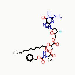 CCCCCCCCCCCCCCCCCC(=O)OC(COC(=O)[C@@H](NC(=O)OCc1ccccc1)C(C)C)C(=O)OC[C@H]1O[C@@H](n2cnc3c(=O)[nH]c(N)nc32)C[C@@H]1F